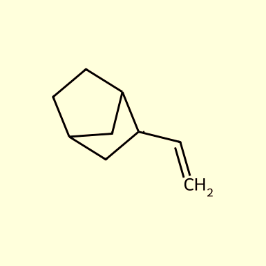 C=C[C]1CC2CCC1C2